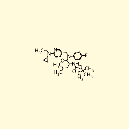 CCN(c1ccc(CN(C(=O)C(CC(C)C)NC(=O)OC(C)(C)C)c2ccc(F)cc2)cn1)C1CC1